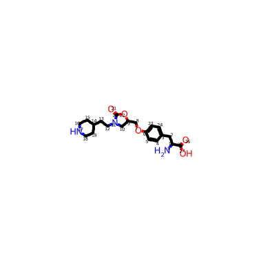 NC(Cc1ccc(OCC2CN(CCC3CCNCC3)C(=O)O2)cc1)C(=O)O